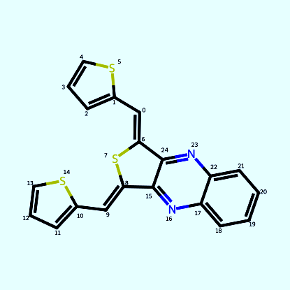 C(c1cccs1)=c1sc(=Cc2cccs2)c2nc3ccccc3nc12